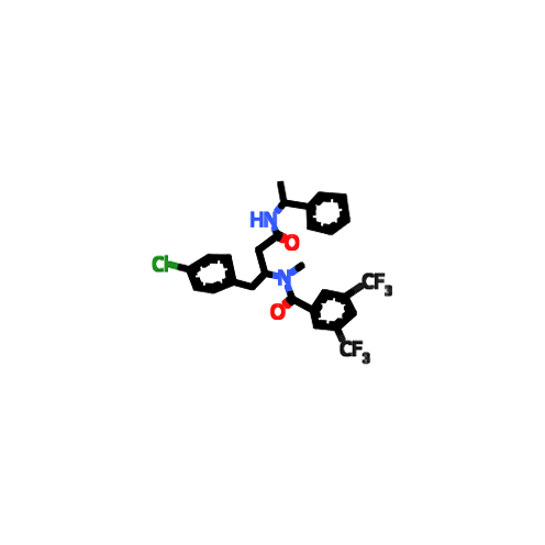 CC(NC(=O)CC(Cc1ccc(Cl)cc1)N(C)C(=O)c1cc(C(F)(F)F)cc(C(F)(F)F)c1)c1ccccc1